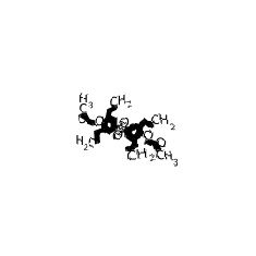 C=CCc1cc(S(=O)(=O)c2cc(CC=C)c(OCC3OC3C)c(CC=C)c2)cc(CC=C)c1OCC1OC1C